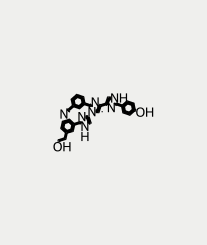 N#Cc1cccc(-c2nc(-c3c[nH]c(-c4ccc(O)cc4)n3)[c]n2-c2c[nH]c(-c3cccc(CCO)c3)n2)c1